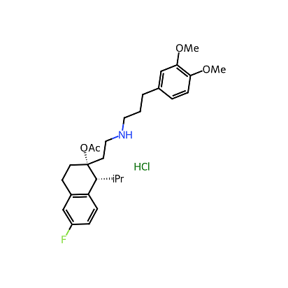 COc1ccc(CCCNCC[C@]2(OC(C)=O)CCc3cc(F)ccc3[C@H]2C(C)C)cc1OC.Cl